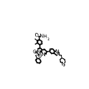 Cc1c(C(N)=O)ccc(-c2cn(S(=O)(=O)Cc3ccccc3)c3ncc(-c4ccc5nn(CC6CCN(C)CC6)cc5c4)cc23)c1C